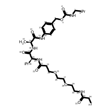 CC(C)CNC(=O)OCc1ccc(NC(=O)[C@H](C)NC(=O)[C@@H](NC(=O)CCOCCOCCNC(=O)CI)C(C)C)cc1